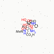 CNC(=O)NC(=O)C(CCC(=O)O)C(C(N)=O)C(C)O[C@@H]([C@H](O)[C@H](O)CO)[C@H](C=O)NC(=O)c1ccccc1